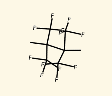 CC(C(F)(F)F)(C(F)(F)F)C(C)(C(F)(F)F)C(F)(F)F